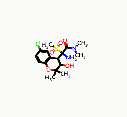 CN(C)C(=O)C(N)(C1c2cc(Cl)ccc2OC(C)(C)C1O)S(C)(=O)=O